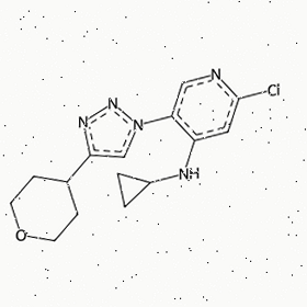 Clc1cc(NC2CC2)c(-n2cc(C3CCOCC3)nn2)cn1